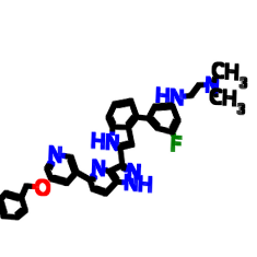 CN(C)CCNc1cc(F)cc(-c2cccc3[nH]c(-c4n[nH]c5ccc(-c6cncc(OCc7ccccc7)c6)nc45)cc23)c1